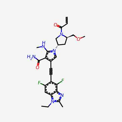 C=CC(=O)N1C[C@@H](n2cc(C#Cc3c(F)cc4c(nc(C)n4CC)c3F)c(C(N)=O)c2NC)C[C@@H]1COC